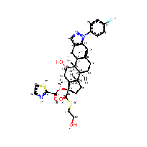 C[C@]12Cc3cnn(-c4ccc(F)cc4)c3C=C1CC[C@@H]1[C@@H]2[C@@H](O)C[C@@]2(C)[C@H]1CC[C@]2(OC(=O)c1nccs1)C(=O)SCCO